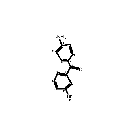 Nc1ccc(C(=O)c2cccc(Br)c2)cc1